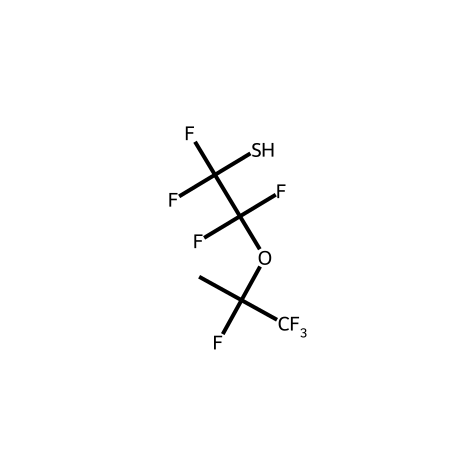 CC(F)(OC(F)(F)C(F)(F)S)C(F)(F)F